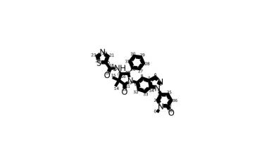 Cn1cc(-n2ncc3cc(N4C(=O)C(C)(C)[C@@H](NC(=O)c5cncs5)[C@@H]4c4ccccc4)ccc32)ccc1=O